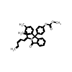 C=C/C=C\C=C(/C=C)N1C(=O)c2ccccc2C1(c1ccc(C)cc1)c1ccc(OC(=O)OC)cc1